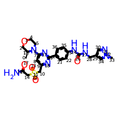 C[C@H]1COCCN1c1cc(CS(=O)(=O)CC(N)=O)nc(-c2ccc(NC(=O)NCc3cnn(C)c3)cc2)n1